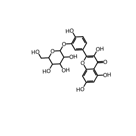 O=c1c(O)c(-c2ccc(O)c(OC3OC(CO)C(O)C(O)C3O)c2)oc2cc(O)cc(O)c12